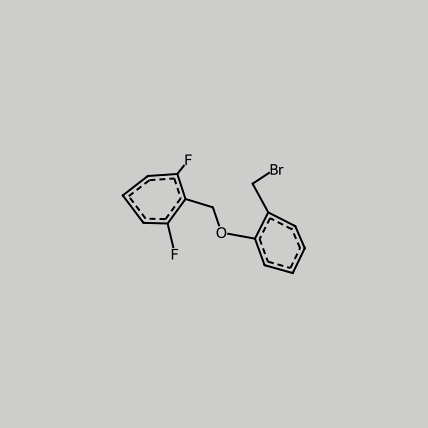 Fc1cccc(F)c1COc1ccccc1CBr